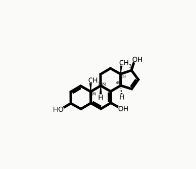 C[C@]12C=CC(O)CC1=CC(O)=C1[C@H]2CC[C@]2(C)C(O)C=C[C@@H]12